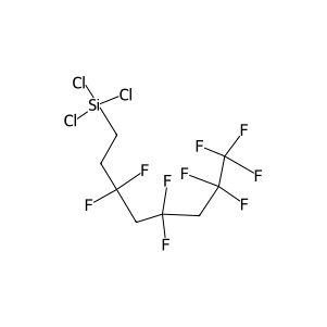 FC(F)(CC[Si](Cl)(Cl)Cl)CC(F)(F)CC(F)(F)C(F)(F)F